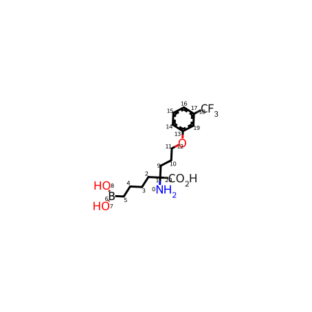 NC(CCCCB(O)O)(CCCOc1cccc(C(F)(F)F)c1)C(=O)O